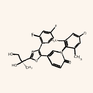 Cc1cc(Cl)cc(C)c1-n1cc(-c2oc([C@@](C)(O)CO)nc2-c2ccc(F)cc2F)ccc1=O